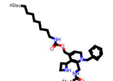 CCCCCCCCCCCCCCCCCCNC(=O)OCC1=CCN(Cc2ccccc2)C(CNC(=O)OC)=C1C1CCN1